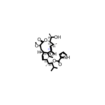 CO[C@H]1C[C@H]2C=C[C@@H]([C@@H](C)[C@H](OC(=O)c3ccc[nH]3)C(C)C)C(C)[C@]2(O)/C(C)=C/[C@@H](C)[C@@H]([C@@H](C)O)OC1=O